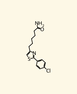 NC(=O)CCCCCc1csc(-c2ccc(Cl)cc2)n1